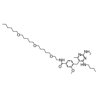 CCCCCCOCCCCCOCCCCCOCCNC(=O)c1ccc(Cc2c(C)nc(N)nc2NCCCC)c(OC)c1